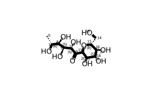 C[C@@H](O)[C@@H](O)[C@H](O)[C@H](O)C(=O)C1O[C@H](CO)[C@@H](O)[C@H](O)[C@H]1O